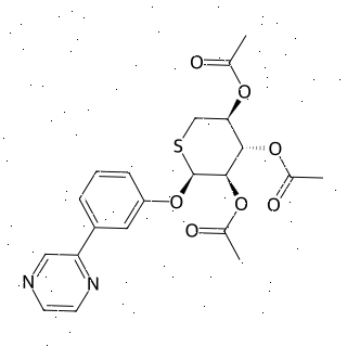 CC(=O)O[C@@H]1[C@@H](OC(C)=O)[C@@H](Oc2cccc(-c3cnccn3)c2)SC[C@H]1OC(C)=O